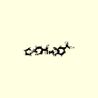 O=C(O)c1ccc2nc(NC(=O)c3ccc(N4CCCC4)nc3)sc2c1